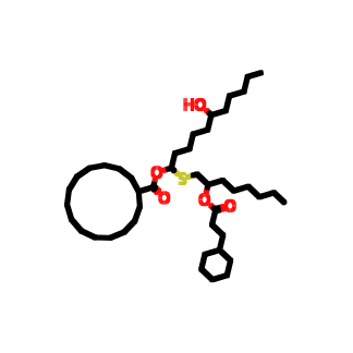 CCCCCCC(CSC(CCCCC(O)CCCCC)OC(=O)C1CCCCCCCCCCCCCC1)OC(=O)CCC1CCCCC1